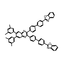 Cc1cc(C)cc(-c2cc3nc(-c4ccc(-c5ccc(-c6nc7ccccc7o6)cc5)cc4)c(-c4ccc(-c5ccc(-c6nc7ccccc7o6)cc5)cc4)nc3cc2-c2cc(C)cc(C)c2)c1